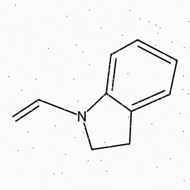 C=CN1CCc2ccccc21